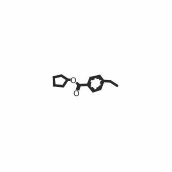 CCc1ccc(C(=O)OC2CCCC2)cc1